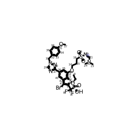 CCOP(=O)(O)C(F)(F)c1sc2c(OCCCS(=O)(=O)/N=C\N(C)C)cc(-c3ncn(Cc4ccc(OC)cc4)n3)cc2c1Br